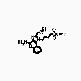 CCOCc1nc2c(N)nc3ccccc3c2n1CCCCS(=O)(=O)NC